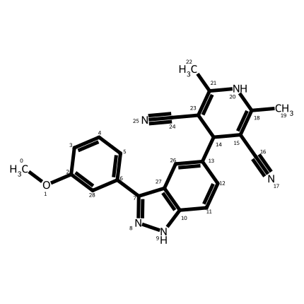 COc1cccc(-c2n[nH]c3ccc(C4C(C#N)=C(C)NC(C)=C4C#N)cc23)c1